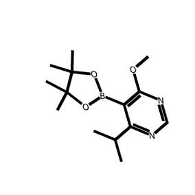 COc1ncnc(C(C)C)c1B1OC(C)(C)C(C)(C)O1